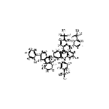 Cc1cc2c3c(c1)N(c1cccc(C(C)(C)C)c1)c1cc(C(C)(C)C)ccc1B3c1ccc(N3c4ccc(-c5ccccc5C)cc4C4(C)CCCCC34C)cc1N2c1ccc(C(C)(C)C)cc1